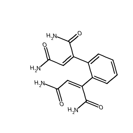 NC(=O)C=C(C(N)=O)c1ccccc1C(=CC(N)=O)C(N)=O